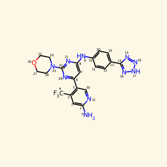 Nc1cc(C(F)(F)F)c(-c2cc(Nc3ccc(-c4nn[nH]n4)cc3)nc(N3CCOCC3)n2)cn1